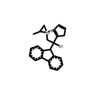 CCC[CH2][Hf]1([CH2]C(CC)(C2=CC=CC2)C2c3ccccc3-c3ccccc32)[CH2][CH]1C